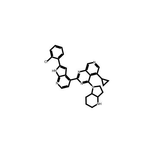 Clc1ccccc1-c1cc2c(-c3nc(N4CCC5NCCCC54)c4c(C5CC5)cncc4n3)ccnc2[nH]1